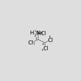 Cl.NC(Cl)C(Cl)Cl